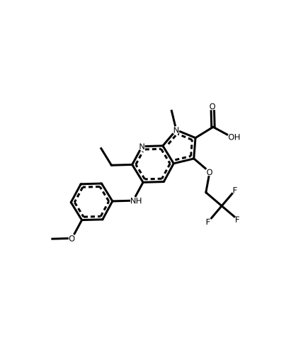 CCc1nc2c(cc1Nc1cccc(OC)c1)c(OCC(F)(F)F)c(C(=O)O)n2C